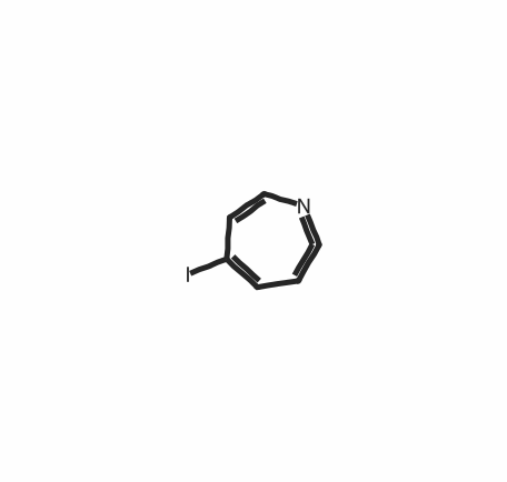 IC1=CC=C=NC=C1